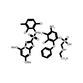 COc1cc(OC)n2nc(S(=O)(=O)Nc3c(Cl)ccc(C)c3Cl)nc2n1.Nc1c([N+](=O)[O-])ccc(Oc2ccccc2)c1Cl.O=C(O)CNCP(=O)(O)O